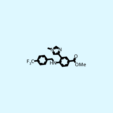 COC(=O)c1ccc(NCc2ccc(C(F)(F)F)cc2)c(-c2cn(C)cn2)c1